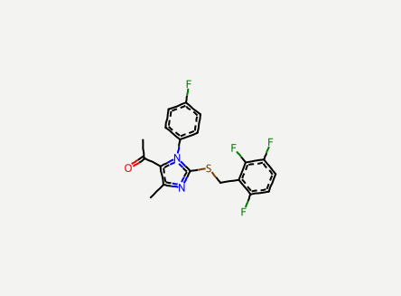 CC(=O)c1c(C)nc(SCc2c(F)ccc(F)c2F)n1-c1ccc(F)cc1